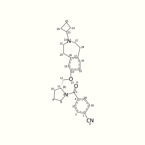 N#Cc1ccc(C(=O)N2CCC[C@@H]2COc2ccc3c(c2)CCN(C2CCC2)CC3)cc1